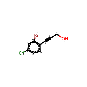 OCC#Cc1ccc(Cl)cc1Br